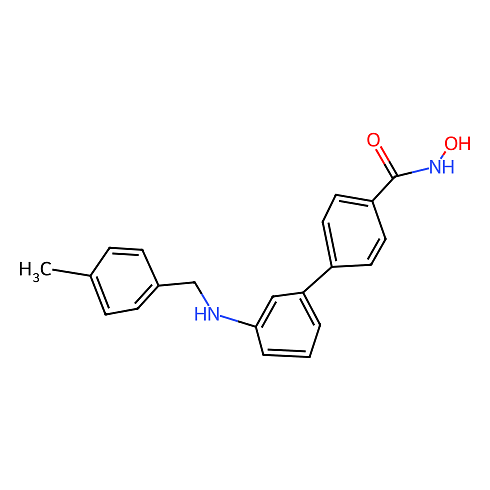 Cc1ccc(CNc2cccc(-c3ccc(C(=O)NO)cc3)c2)cc1